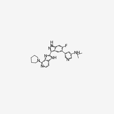 CC(C)Nc1cncc(-c2cc3c(-c4nc5c(N6CCCCC6)nccc5[nH]4)n[nH]c3cc2F)c1